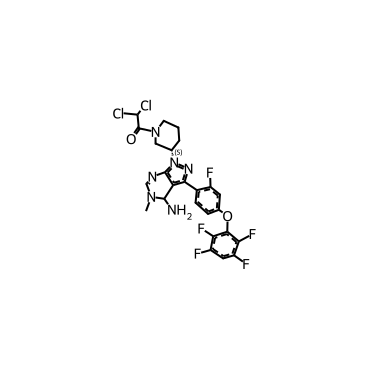 CN1C=Nc2c(c(-c3ccc(Oc4c(F)c(F)cc(F)c4F)cc3F)nn2[C@H]2CCCN(C(=O)C(Cl)Cl)C2)C1N